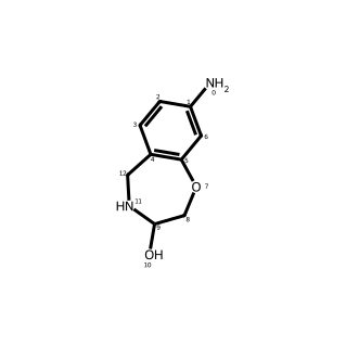 Nc1ccc2c(c1)OCC(O)NC2